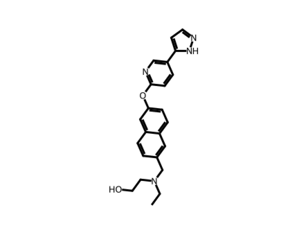 CCN(CCO)Cc1ccc2cc(Oc3ccc(-c4ccn[nH]4)cn3)ccc2c1